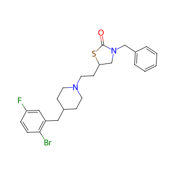 O=C1SC(CCN2CCC(Cc3cc(F)ccc3Br)CC2)CN1Cc1ccccc1